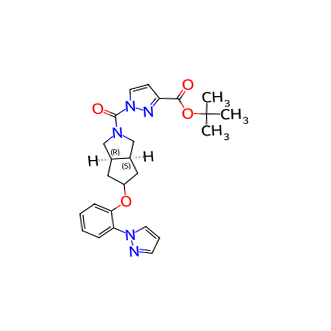 CC(C)(C)OC(=O)c1ccn(C(=O)N2C[C@H]3CC(Oc4ccccc4-n4cccn4)C[C@H]3C2)n1